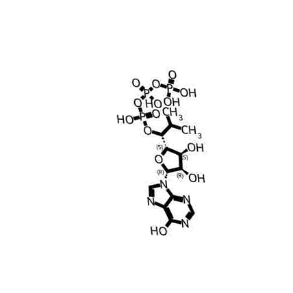 CC(C)C(OP(=O)(O)OP(=O)(O)OP(=O)(O)O)[C@H]1O[C@@H](n2cnc3c(O)ncnc32)[C@H](O)[C@@H]1O